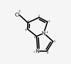 Clc1ccn2c[c]nc2c1